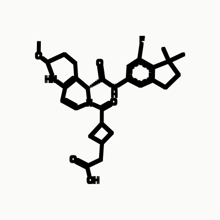 COC1CCC2=C(C=CN(C(=O)C3CC(CC(=O)O)C3)[C@H]2C(=O)Nc2cc(F)c3c(c2)CCC3(C)C)N1